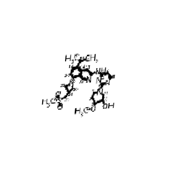 COC1CCN(c2nccc(Nc3cc4c(C(C)C)ccc(N5CC(CS(C)(=O)=O)C5)c4cn3)n2)CC1O